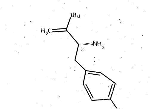 [C-]#[N+]c1ccc(C[C@@H](N)C(=C)C(C)(C)C)cc1